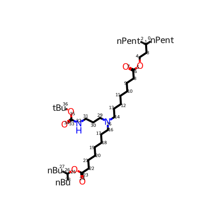 CCCCCC(CCCCC)CCOC(=O)CCCCCCCN(CCCCCCCC(=O)OC(CCCC)CCCC)CCCNC(=O)OC(C)(C)C